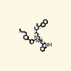 C=C/C(=C\C(=C/C)C(C)/C=C(/C=C/C=C/C(C=N)=C1\CCC=CC1=C)\N=C(/N)C1=CC(C2=CC(/C=C\C=C/C)CCC2)=CCC1)c1ccc2c(c1)CCC=C2